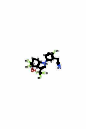 N#CCc1cc(-n2cc(C(F)(F)F)c3c2CCC(F)(F)[C@H]3O)ccc1F